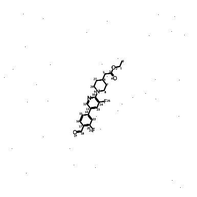 CCOC(=O)CC1CCN(c2ncc(-c3ccc(C=O)c(F)c3)cc2F)CC1